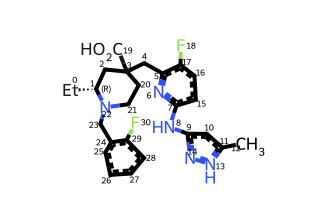 CC[C@@H]1CC(Cc2nc(Nc3cc(C)[nH]n3)ccc2F)(C(=O)O)CCN1Cc1ccccc1F